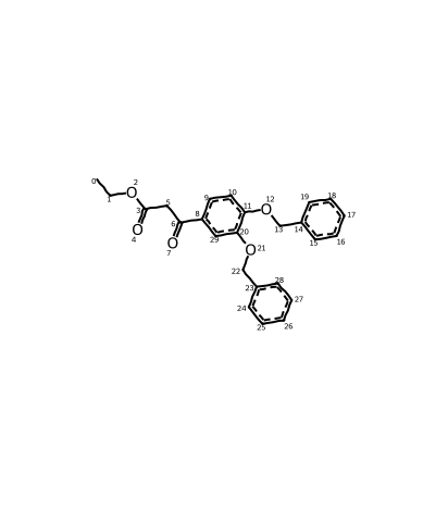 CCOC(=O)CC(=O)c1ccc(OCc2ccccc2)c(OCc2ccccc2)c1